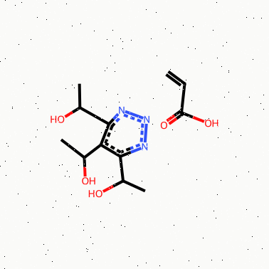 C=CC(=O)O.CC(O)c1nnnc(C(C)O)c1C(C)O